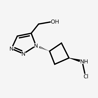 OCc1cnnn1[C@H]1C[C@H](NCl)C1